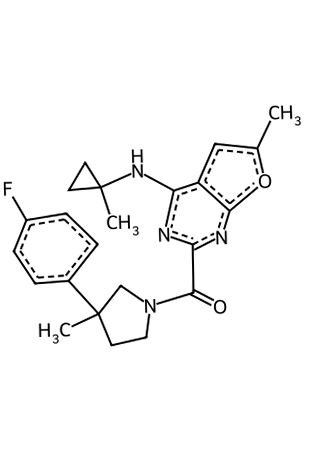 Cc1cc2c(NC3(C)CC3)nc(C(=O)N3CCC(C)(c4ccc(F)cc4)C3)nc2o1